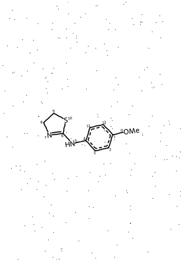 COc1ccc(NC2=NCCS2)cc1